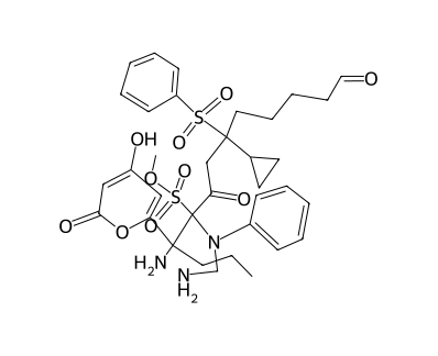 CCCC(N)(c1cc(O)cc(=O)o1)C(C(=O)CC(CCCCC=O)(C1CC1)S(=O)(=O)c1ccccc1)(N(CN)c1ccccc1)S(=O)(=O)OC